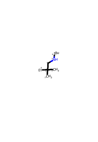 CCC(C)(C)CNC(C)(C)C